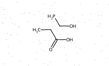 CCC(=O)O.OCP